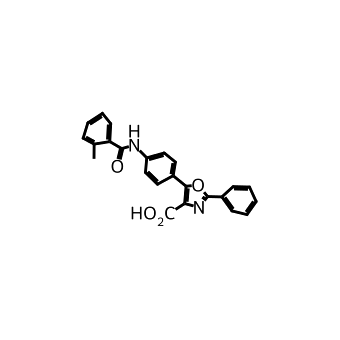 Cc1ccccc1C(=O)Nc1ccc(-c2oc(-c3ccccc3)nc2C(=O)O)cc1